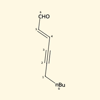 CCCCCC#CC=CC=O